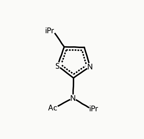 CC(=O)N(c1ncc(C(C)C)s1)C(C)C